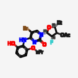 CCCOc1cccc(O)c1Nc1nc(=O)n([C@@H]2O[C@H](CC)C(OC(C)=O)[C@@H]2F)cc1Br